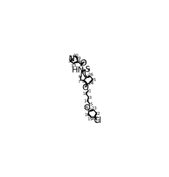 O=C(NC(=S)N1CCc2c(OCCCCCOc3ccc(Cl)cc3)cccc21)c1ccncc1